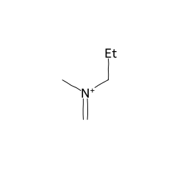 C=[N+](C)CCC